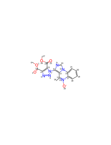 COC(=O)c1nnn(-c2ncn3c2c(C)[n+]([O-])c2ccccc23)c1C(=O)OC